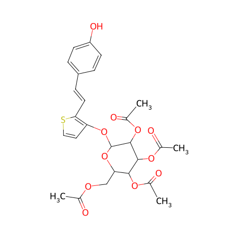 CC(=O)OCC1OC(Oc2ccsc2/C=C/c2ccc(O)cc2)C(OC(C)=O)C(OC(C)=O)C1OC(C)=O